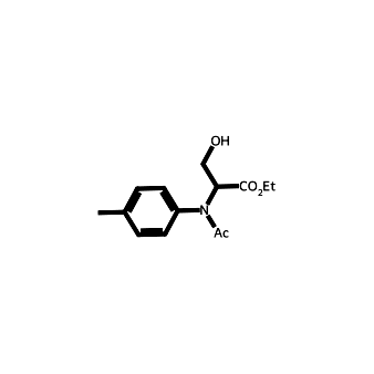 CCOC(=O)C(CO)N(C(C)=O)c1ccc(C)cc1